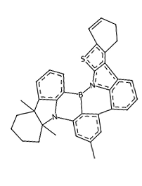 Cc1cc2c3c(c1)N1c4c(cccc4C4(C)CCCCC14C)B3n1c3sc4c(c3c3cccc-2c31)CCC=C4